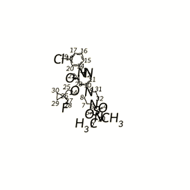 CN(C)S(=O)(=O)N1CCN(c2cnn(-c3cccc(Cl)c3)c(=O)c2OCC2(CF)CC2)CC1